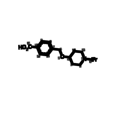 CC(C)N1CCC(OCc2ccc(C(=O)O)cc2)CC1